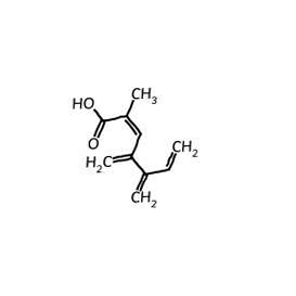 C=CC(=C)C(=C)C=C(C)C(=O)O